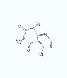 CCn1c(=O)c2c(Cl)ccnc2n(CC)c1=O